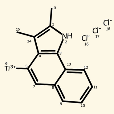 Cc1[nH]c2c([c]([Ti+3])cc3ccccc32)c1C.[Cl-].[Cl-].[Cl-]